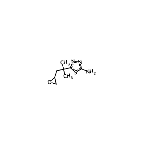 CC(C)(CC1CO1)c1nnc(N)s1